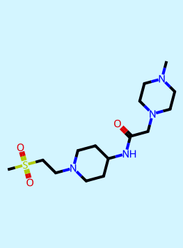 CN1CCN(CC(=O)NC2CCN(CCS(C)(=O)=O)CC2)CC1